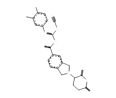 Cc1ccc(N=C(NC#N)NC(=O)c2ccc3c(c2)CN(C2CCC(=O)NC2=O)C3)cc1Cl